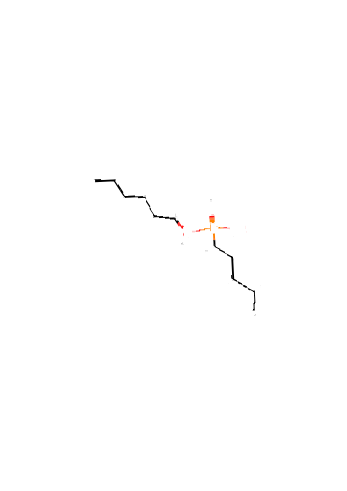 CCCCCCOP(=O)(O)CCCCC